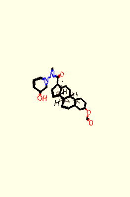 CN(C(=O)C1CC[C@H]2[C@@H]3CCC4CC(OC=O)CC[C@]4(C)[C@H]3CC[C@]12C)N1CCCC(O)C1